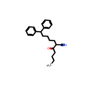 CCCCC(=O)C(C#N)CCCCC(c1ccccc1)c1ccccc1